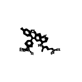 C=c1ccc(=C(c2ccc(N(CC)CC)cc2)c2cc3c(NC(C)CCCN(CC)CC)ccnc3cc2Cl)cc1